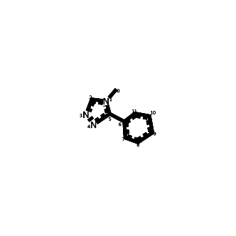 Cn1cnnc1-c1c[c]ccc1